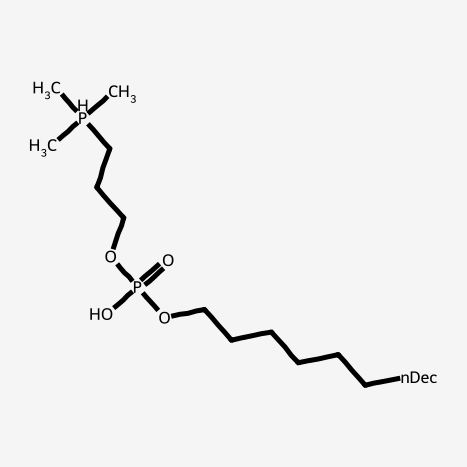 CCCCCCCCCCCCCCCCOP(=O)(O)OCCC[PH](C)(C)C